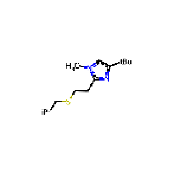 CC(C)CSCCc1nc(C(C)(C)C)cn1C